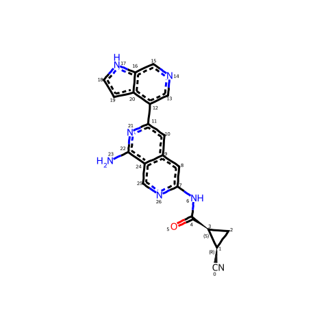 N#C[C@@H]1C[C@@H]1C(=O)Nc1cc2cc(-c3cncc4[nH]ccc34)nc(N)c2cn1